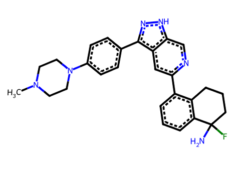 CN1CCN(c2ccc(-c3n[nH]c4cnc(-c5cccc6c5CCCC6(N)F)cc34)cc2)CC1